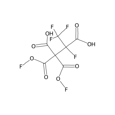 O=C(O)C(C(=O)OF)(C(=O)OF)C(F)(C(=O)O)C(F)(F)F